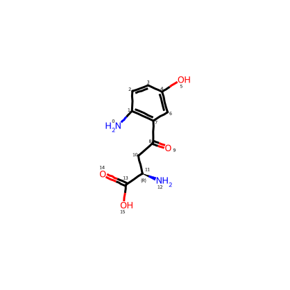 Nc1ccc(O)cc1C(=O)C[C@@H](N)C(=O)O